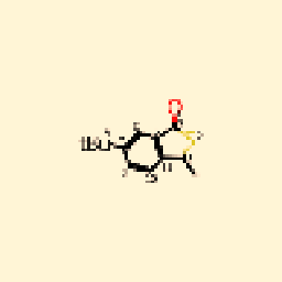 CC1SC(=O)c2cc(C(C)(C)C)ccc21